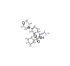 CC/C=C(\NS(=O)(=O)c1ccccc1)c1ccc(N2CCOCC2)cc1